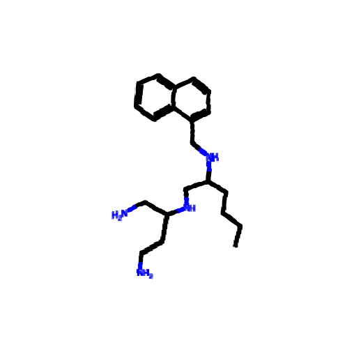 CCCCC(CNC(CN)CCN)NCc1cccc2ccccc12